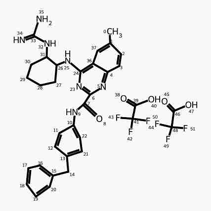 Cc1ccc2nc(C(=O)Nc3ccc(Cc4ccccc4)cc3)nc(NC3CCCCC3NC(=N)N)c2c1.O=C(O)C(F)(F)F.O=C(O)C(F)(F)F